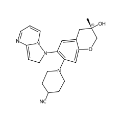 C[C@@]1(O)COc2cc(N3CCC(C#N)CC3)c(N3CC=C4N=CC=CN43)cc2C1